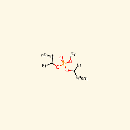 CCCCCC(CC)OP(=O)(OC(C)C)OC(CC)CCCCC